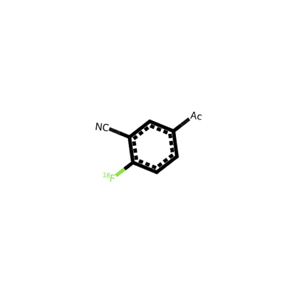 CC(=O)c1ccc([18F])c(C#N)c1